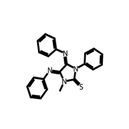 CN1C(=S)N(c2ccccc2)C(=Nc2ccccc2)C1=Nc1ccccc1